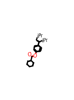 CC(C)CC(c1ccc(OC(=O)C2CCCCC2)cc1)C(C)C